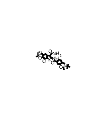 CC(=O)Oc1c(Cl)cc2c(C(N)=O)c(NC(=O)c3ccc(CN(C(C)=O)C(C)(C)C)cc3)sc2c1Cl